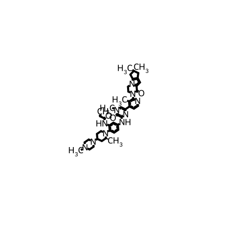 C=CC(=O)Nc1cc(Nc2nc(-c3ccnc(N4CCn5c(cc6c5CC(C)(C)C6)C4=O)c3C)cn(C)c2=O)ccc1N1CCC(N2CCN(C)CC2)C[C@@H]1C